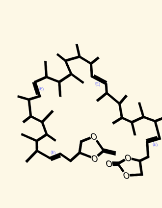 C=C1OCC(C/C=C/C(C)C(C)C(C)C(C)C(C)C(C)/C=C/C(C)C(C)C(C)C(C)C(C)C(C)/C=C/C(C)C(C)C(C)C(C)C(C)C(C)/C=C/CC2COC(=O)O2)O1